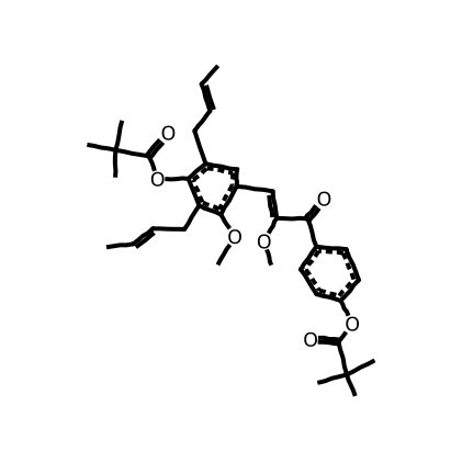 CC=CCc1cc(C=C(OC)C(=O)c2ccc(OC(=O)C(C)(C)C)cc2)c(OC)c(CC=CC)c1OC(=O)C(C)(C)C